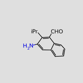 CC(C)c1c(N)cc2ccccc2c1C=O